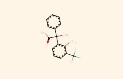 Cc1c(C(F)(F)F)cccc1C(O)(C(=O)Br)c1ccccc1